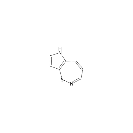 C1=Cc2[nH]ccc2SN=C1